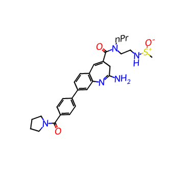 CCCN(CCN[S+](C)[O-])C(=O)C1=Cc2ccc(-c3ccc(C(=O)N4CCCC4)cc3)cc2N=C(N)C1